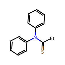 CCC(=S)N(c1ccccc1)c1ccccc1